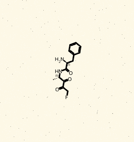 C[C@H](NC(=O)[C@@H](N)Cc1ccccc1)C(=O)C(=O)CF